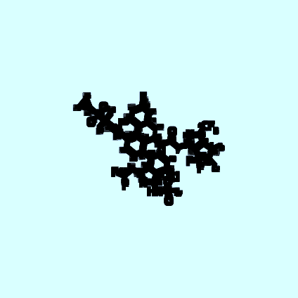 C[C@@H]1c2c(C(F)(F)F)nn(CC(=O)N[C@@H](Cc3cc(F)cc(F)c3)c3nc(C#CC(C)(C)S(=O)(=O)C4CC4)ccc3-c3ccc(Cl)c4c(NS(C)(=O)=O)nn(CC(F)F)c34)c2C(F)(F)[C@@H]1C